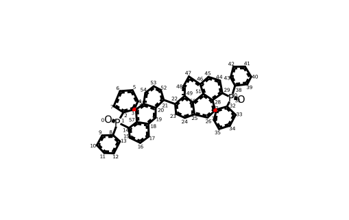 O=P(c1ccccc1)(c1ccccc1)c1cccc2cc3c(-c4ccc5ccc6c(P(=O)(c7ccccc7)c7ccccc7)ccc7ccc4c5c76)cccc3cc12